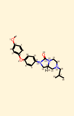 COc1ccc(Oc2ccc(N3C[C@H]4CN(C[C](C)C)CCN4C3=O)cc2)cc1